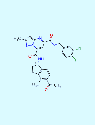 CC(=O)c1ccc2c(c1C)CC[C@@H]2NC(=O)c1cc(C(=O)NCc2ccc(F)c(Cl)c2)nc2cc(C)nn12